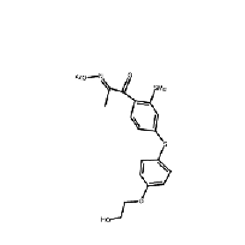 CSc1cc(Sc2ccc(OCCO)cc2)ccc1C(=O)/C(C)=N/OC(C)=O